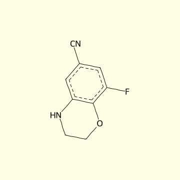 N#Cc1cc(F)c2c(c1)NCCO2